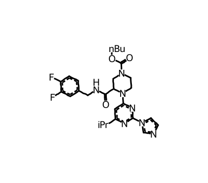 CCCCOC(=O)N1CCN(c2cc(C(C)C)nc(-n3ccnc3)n2)C(C(=O)NCc2ccc(F)c(F)c2)C1